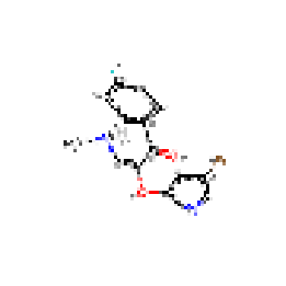 CN(C)/C=C(/Oc1cncc(Br)c1)C(=O)c1ccc(F)cc1